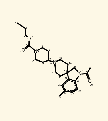 CCCOC(=O)N1CCC(N2CCC3(CC2)CN(C(C)=O)c2ccc(C)cc23)CC1